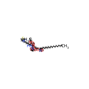 CCCCCCCCCCCCCCCCc1cc(OCC(COC(=O)NC(CCCCC[n+]2ccsc2)C(=O)OCC)Oc2ccon2)no1